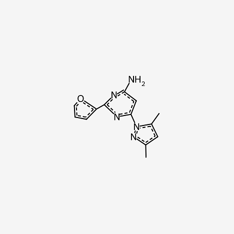 Cc1cc(C)n(-c2cc(N)nc(-c3ccco3)n2)n1